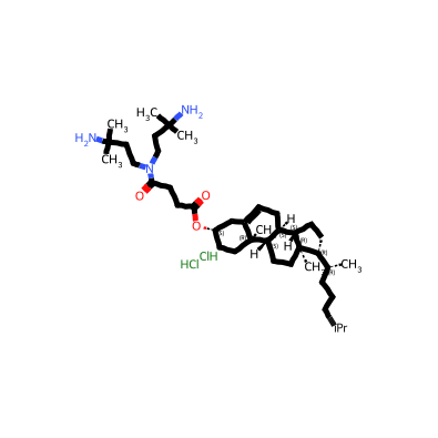 CC(C)CCC[C@@H](C)[C@H]1CC[C@H]2[C@@H]3CC=C4C[C@@H](OC(=O)CCC(=O)N(CCC(C)(C)N)CCC(C)(C)N)CC[C@]4(C)[C@H]3CC[C@]12C.Cl.Cl